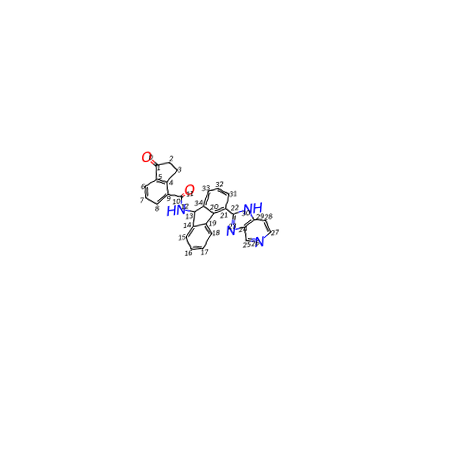 O=C1CCc2c1cccc2C(=O)NC1c2ccccc2-c2c(-c3nc4cnccc4[nH]3)cccc21